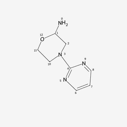 NC1CN(c2ncccn2)CCO1